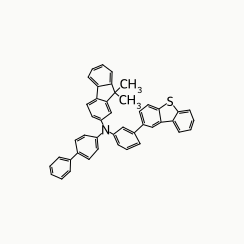 CC1(C)c2ccccc2-c2ccc(N(c3ccc(-c4ccccc4)cc3)c3cccc(-c4ccc5sc6ccccc6c5c4)c3)cc21